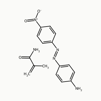 C=C(C)C(N)=O.Nc1ccc(/N=N/c2ccc([N+](=O)[O-])cc2)cc1